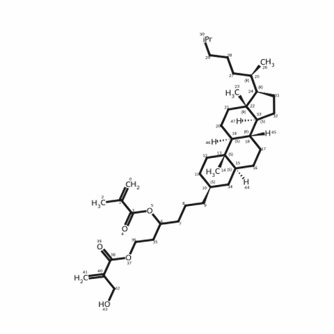 C=C(C)C(=O)OC(CCC[C@H]1CC[C@@]2(C)[C@@H](CC[C@@H]3[C@@H]2CC[C@]2(C)[C@@H]([C@H](C)CCCC(C)C)CC[C@@H]32)C1)CCOC(=O)C(=C)CO